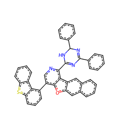 c1ccc(C2=NC(c3ccccc3)NC(c3ncc(-c4cccc5sc6ccccc6c45)c4oc5cc6ccccc6cc5c34)=N2)cc1